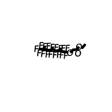 CCOC(=O)COC(F)(F)C(F)(F)C(F)(F)C(F)(F)C(F)(F)C(F)(F)C(F)(F)C(F)(F)F